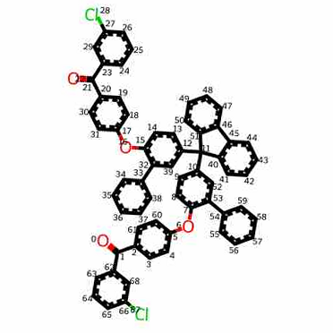 O=C(c1ccc(Oc2ccc(C3(c4ccc(Oc5ccc(C(=O)c6cccc(Cl)c6)cc5)c(-c5ccccc5)c4)c4ccccc4-c4ccccc43)cc2-c2ccccc2)cc1)c1cccc(Cl)c1